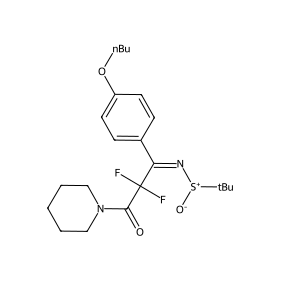 CCCCOc1ccc(C(=N[S+]([O-])C(C)(C)C)C(F)(F)C(=O)N2CCCCC2)cc1